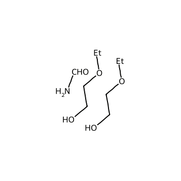 CCOCCO.CCOCCO.NC=O